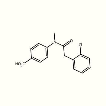 CN(C(=O)Cc1ccccc1Cl)c1ccc(C(=O)O)cc1